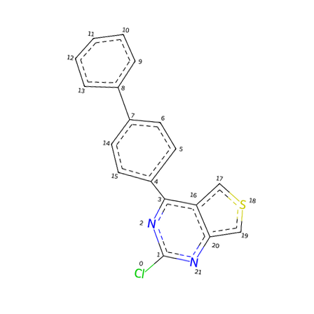 Clc1nc(-c2ccc(-c3ccccc3)cc2)c2cscc2n1